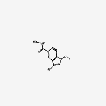 CC(C)c1cn(C)c2ccc(C(=O)NO)cc12